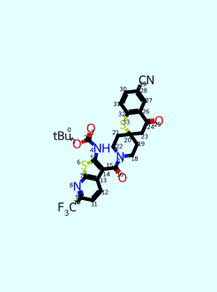 CC(C)(C)OC(=O)Nc1sc2nc(C(F)(F)F)ccc2c1C(=O)N1CCC2(CC1)CC(=O)c1cc(C#N)ccc1S2